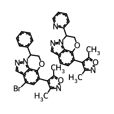 Cc1noc(C)c1-c1cc(Br)c2cnn3c2c1OCC3c1ccccc1.Cc1noc(C)c1-c1ccc2cnn3c2c1OCC3c1ccccn1